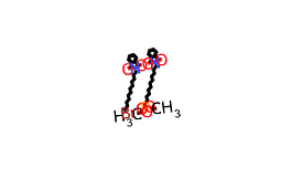 CCOP(=O)(CCCCCCCCCCCCN1C(=O)c2ccccc2C1=O)OCC.O=C1c2ccccc2C(=O)N1CCCCCCCCCCCCBr